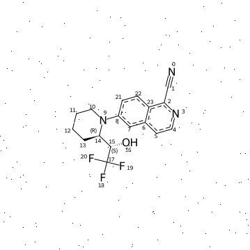 N#Cc1nccc2cc(N3CCCC[C@@H]3[C@H](O)C(F)(F)F)ccc12